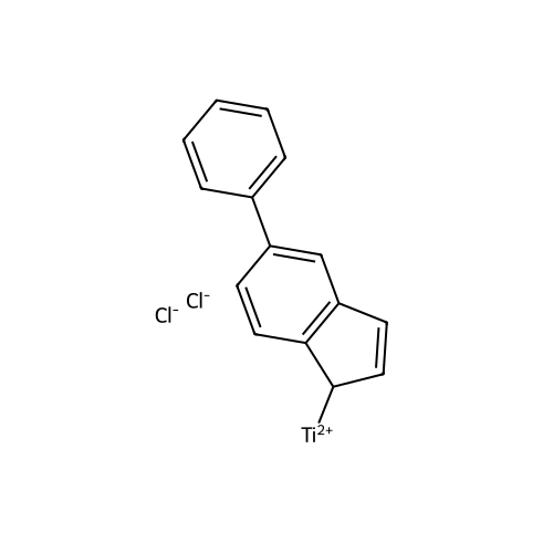 [Cl-].[Cl-].[Ti+2][CH]1C=Cc2cc(-c3ccccc3)ccc21